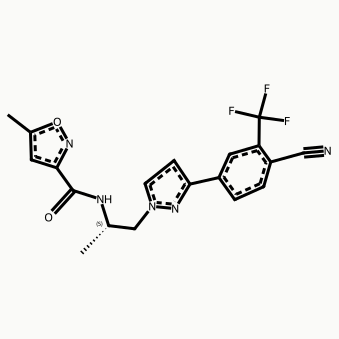 Cc1cc(C(=O)N[C@@H](C)Cn2ccc(-c3ccc(C#N)c(C(F)(F)F)c3)n2)no1